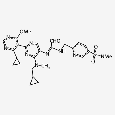 CNS(=O)(=O)c1ccc(CN/C(C=O)=N/c2cnc(-c3c(OC)ncnc3C3CC3)nc2N(C)CC2CC2)nc1